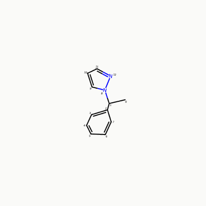 CC(c1ccccc1)n1cc[c]n1